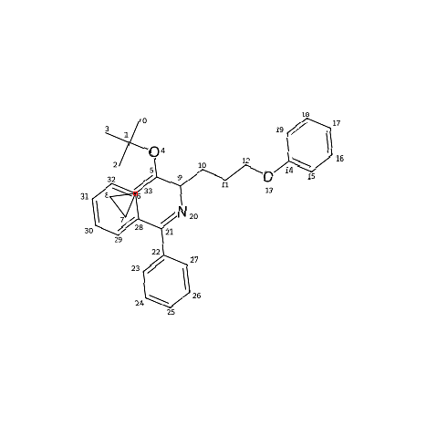 CC(C)(C)OC(=C1CC1)C(CCCOc1ccccc1)N=C(c1ccccc1)c1ccccc1